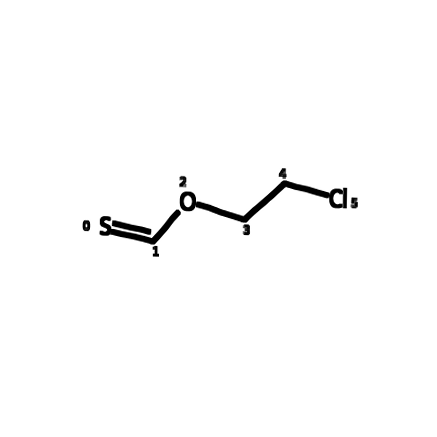 S=COCCCl